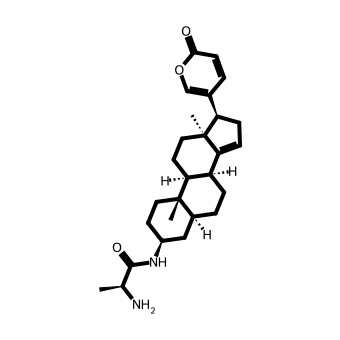 C[C@H](N)C(=O)N[C@H]1CC[C@@]2(C)[C@@H](CC[C@@H]3C4=CC[C@H](c5ccc(=O)oc5)[C@]4(C)CC[C@@H]32)C1